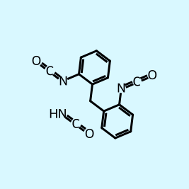 N=C=O.O=C=Nc1ccccc1Cc1ccccc1N=C=O